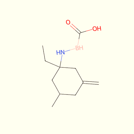 C=C1CC(C)CC(CC)(NBC(=O)O)C1